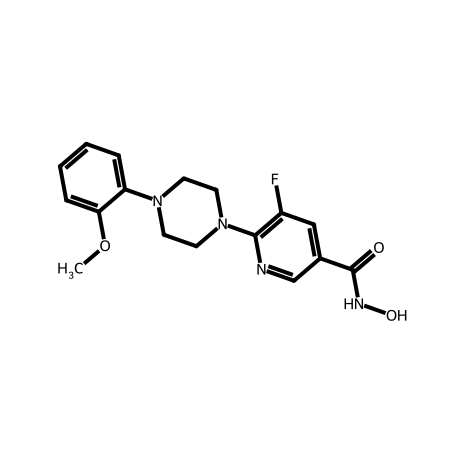 COc1ccccc1N1CCN(c2ncc(C(=O)NO)cc2F)CC1